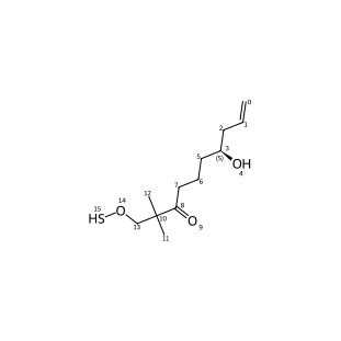 C=CC[C@@H](O)CCCC(=O)C(C)(C)COS